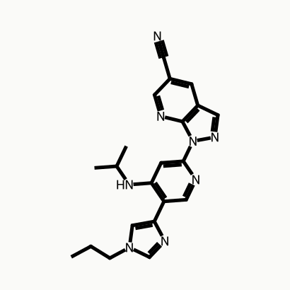 CCCn1cnc(-c2cnc(-n3ncc4cc(C#N)cnc43)cc2NC(C)C)c1